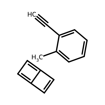 C#Cc1ccccc1C.c1cc2ccc1-2